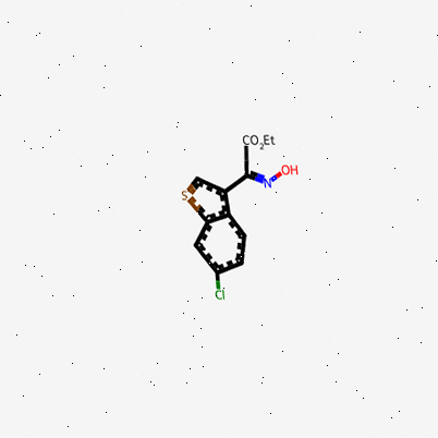 CCOC(=O)C(=NO)c1csc2cc(Cl)ccc12